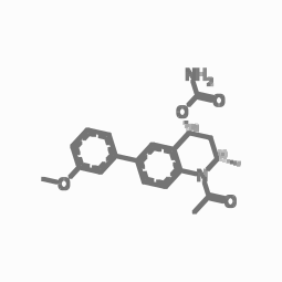 COc1cccc(-c2ccc3c(c2)[C@H](OC(N)=O)C[C@H](C)N3C(C)=O)c1